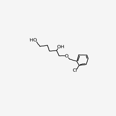 OCCCC(O)COCc1ccccc1Cl